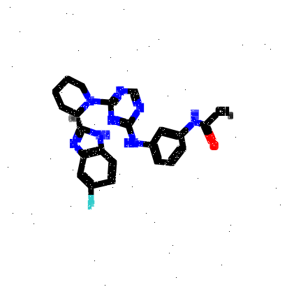 CC(=O)Nc1cccc(Nc2ncnc(N3CCCC[C@H]3c3nc4cc(F)ccc4[nH]3)n2)c1